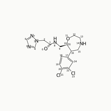 O=C(Cn1cncn1)NC[C@H]1OCCNCC1c1ccc(Cl)c(Cl)c1